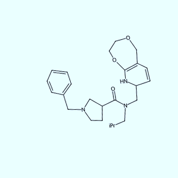 CC(C)CN(CC1C=CC2=C(N1)OCCOC2)C(=O)C1CCN(Cc2ccccc2)C1